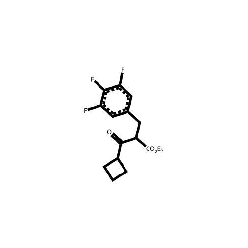 CCOC(=O)C(Cc1cc(F)c(F)c(F)c1)C(=O)C1CCC1